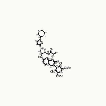 C=CC(=O)NC1CN(c2ccn(C3CCCCC3)n2)CC1Nc1ncc2cc(-c3c(Cl)c(OC)cc(OC)c3Cl)c(=O)n(C)c2n1